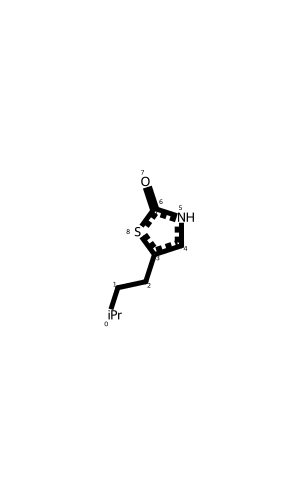 CC(C)CCc1c[nH]c(=O)s1